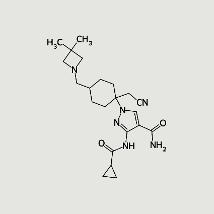 CC1(C)CN(CC2CCC(CC#N)(n3cc(C(N)=O)c(NC(=O)C4CC4)n3)CC2)C1